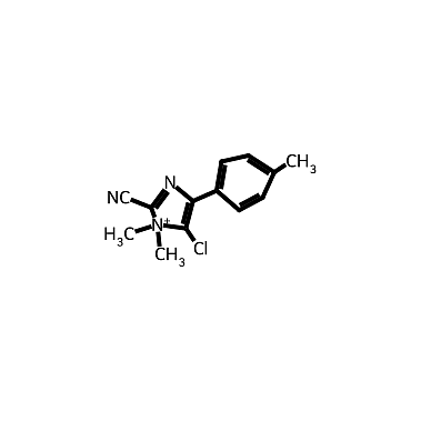 Cc1ccc(C2=C(Cl)[N+](C)(C)C(C#N)=N2)cc1